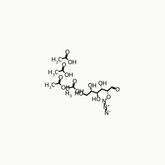 CC(=O)O.CC(=O)O.CC(=O)O.CC(=O)O.[N-]=[N+]=NO[C@@H](C=O)[C@@H](O)[C@@H](O)[C@H](O)CO